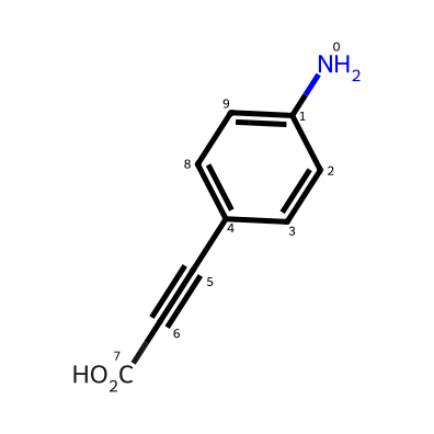 Nc1ccc(C#CC(=O)O)cc1